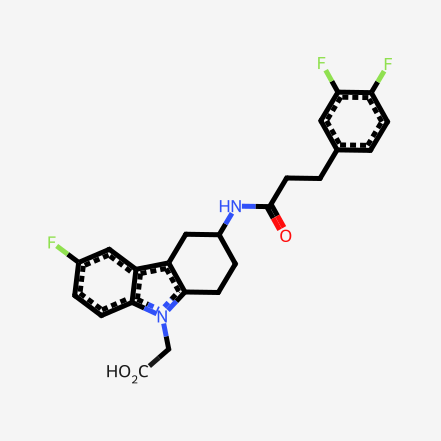 O=C(O)Cn1c2c(c3cc(F)ccc31)CC(NC(=O)CCc1ccc(F)c(F)c1)CC2